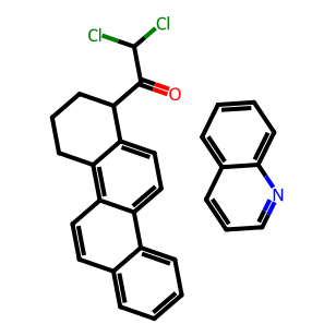 O=C(C(Cl)Cl)C1CCCc2c1ccc1c2ccc2ccccc21.c1ccc2ncccc2c1